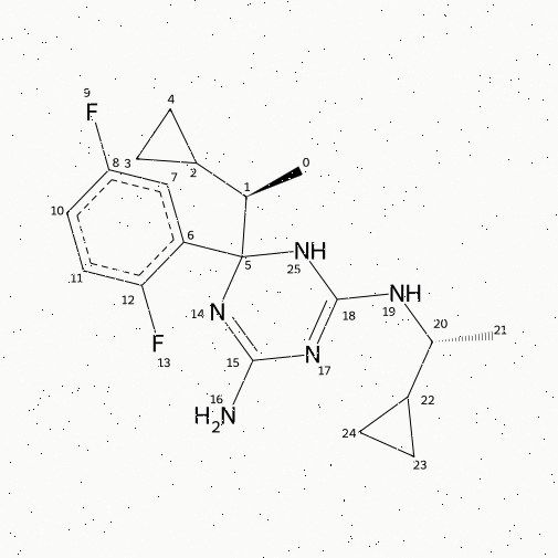 C[C@H](C1CC1)C1(c2cc(F)ccc2F)N=C(N)N=C(N[C@H](C)C2CC2)N1